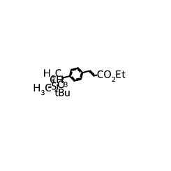 CCOC(=O)C=Cc1ccc(C(C)O[Si](C)(C)C(C)(C)C)cc1